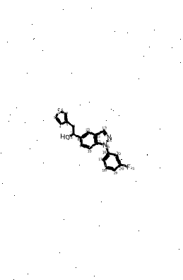 OC(Cc1ccsc1)c1ccc2c(cnn2-c2cccc(F)c2)c1